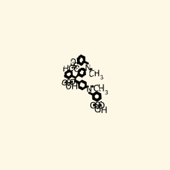 CCN(Cc1cccc(S(=O)(=O)O)c1)c1ccc(C(C=C2C=CC(N(CC)Cc3cccc(S(=O)(=O)O)c3)C=C2)c2ccccc2S(=O)(=O)O)cc1